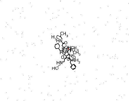 CC(=O)N(C(=O)[C@@H](N)Cc1ccccc1)[C@](CC(C)C)(C(=O)N[C@@H](CC1CCCCC1)C(O)CC(=O)NCC(C)C)C1C=C(CNCCO)OC1.Cl